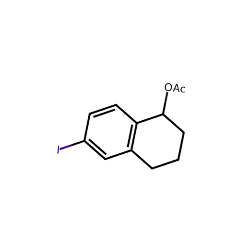 CC(=O)OC1CCCc2cc(I)ccc21